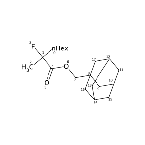 CCCCCCC(C)(F)C(=O)OCC12CC3CC(CC(C3)C1)C2